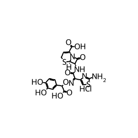 Cl.Nc1nc(/C(=N/OC(C(=O)O)c2ccc(O)c(O)c2)C(=O)N[C@@H]2C(=O)N3C(C(=O)O)=CCS[C@H]23)cs1